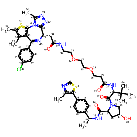 Cc1ncsc1-c1ccc([C@H](C)NC(=O)[C@@H]2C[C@@H](O)CN2C(=O)[C@@H](NC(=O)CCOCCOCCNC(=O)C[C@@H]2N=C(c3ccc(Cl)cc3)c3c(sc(C)c3C)-n3c(C)nnc32)C(C)(C)C)cc1